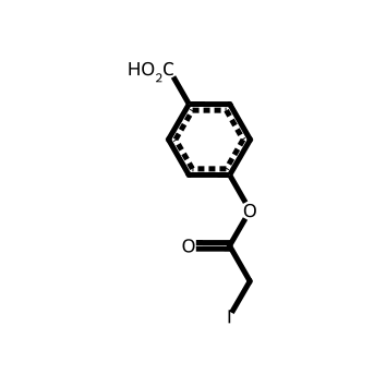 O=C(CI)Oc1ccc(C(=O)O)cc1